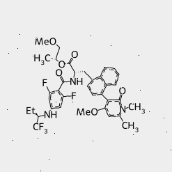 CC[C@@H](Nc1cc(F)c(C(=O)N[C@@H](Cc2ccc(-c3c(OC)cc(C)n(C)c3=O)c3ccccc23)C(=O)O[C@H](C)COC)c(F)c1)C(F)(F)F